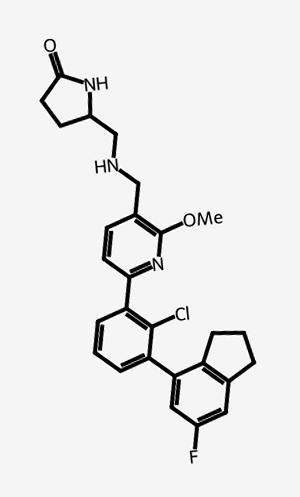 COc1nc(-c2cccc(-c3cc(F)cc4c3CCC4)c2Cl)ccc1CNCC1CCC(=O)N1